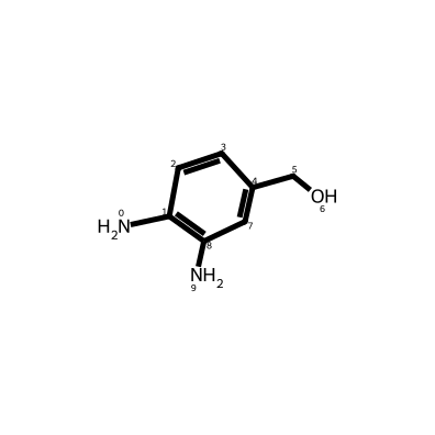 Nc1ccc(CO)cc1N